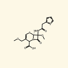 COCC1=CS[C@@H]2N(C(=O)C2(NC(=O)Cc2cccs2)OC)C1C(=O)O